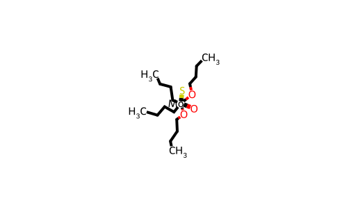 CCCC[O][Mo](=[O])(=[S])([CH2]CCC)([CH2]CCC)[O]CCCC